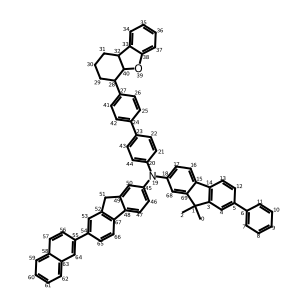 CC1(C)c2cc(-c3ccccc3)ccc2-c2ccc(N(c3ccc(-c4ccc(C5CCCC6c7ccccc7OC56)cc4)cc3)c3ccc4c(c3)Cc3cc(-c5ccc6ccccc6c5)ccc3-4)cc21